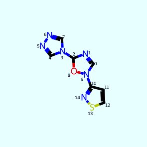 [C]1=NC(n2cnnc2)ON1c1ccsn1